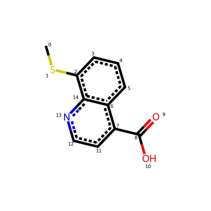 CSc1cccc2c(C(=O)O)ccnc12